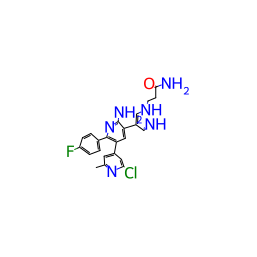 Cc1cc(-c2cc(/C(C=N)=C/NCCC(N)=O)c(N)nc2-c2ccc(F)cc2)cc(Cl)n1